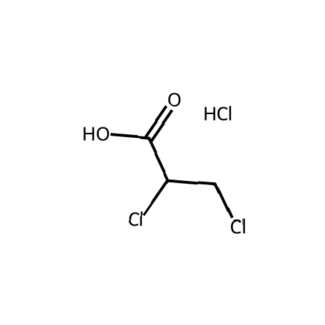 Cl.O=C(O)C(Cl)CCl